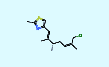 C/C(=C/C[C@H](C)/C(C)=C/c1csc(C)n1)CCl